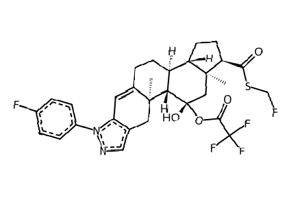 C[C@]12C[C@](O)(OC(=O)C(F)(F)F)[C@H]3[C@@H](CCC4=Cc5c(cnn5-c5ccc(F)cc5)C[C@@]43C)[C@@H]1CC[C@H]2C(=O)SCF